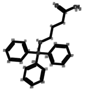 CC(=O)CCCO[Si](c1ccccc1)(c1ccccc1)c1ccccc1